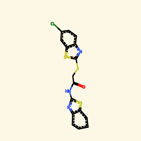 O=C(CSc1nc2ccc(Cl)cc2s1)Nc1nc2ccccc2s1